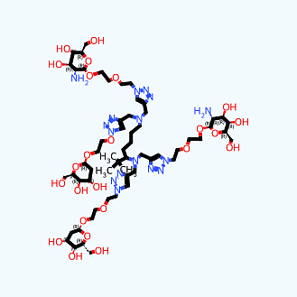 CC(C)(C)C(CCCCN(Cc1cn(CCOCCO[C@@H]2O[C@H](CO)[C@H](O)[C@H](O)[C@H]2N)nn1)Cc1cn(OCCO[C@H]2C[C@@H](O)[C@@H](O)[C@@H](CO)O2)nn1)N(Cc1cn(CCOCCO[C@H]2C[C@@H](O)[C@@H](O)[C@@H](CO)O2)nn1)Cc1cn(CCOCCO[C@@H]2O[C@H](CO)[C@H](O)[C@H](O)[C@H]2N)nn1